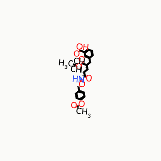 CC(=O)Oc1ccc(CONC(=O)CCC(Cc2cccc(C(=O)O)c2)C(=O)OC(C)(C)C)cc1